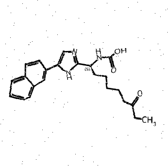 CCC(=O)CCCCC[C@H](NC(=O)O)c1ncc(-c2ccc3ccccc3c2)[nH]1